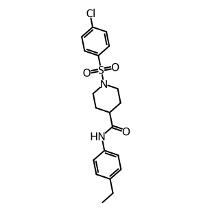 CCc1ccc(NC(=O)C2CCN(S(=O)(=O)c3ccc(Cl)cc3)CC2)cc1